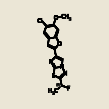 COc1cc2oc(-c3cn4nc([C@@H](C)F)sc4n3)cc2cc1Cl